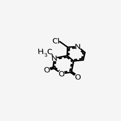 Cn1c(=O)oc(=O)c2ccnc(Cl)c21